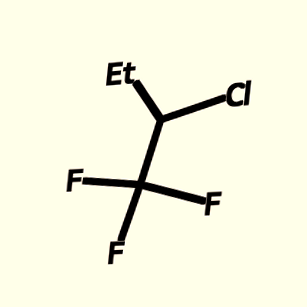 CCC(Cl)C(F)(F)F